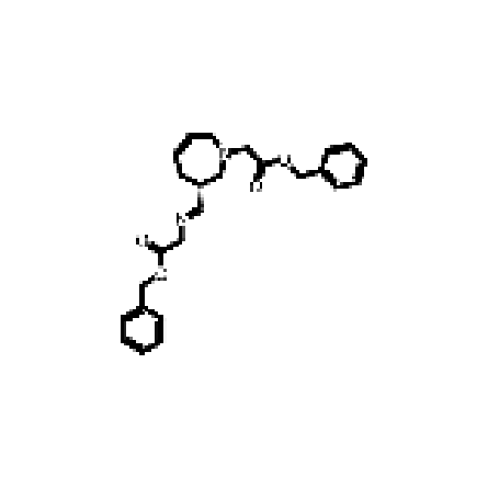 O=C(C/N=C/[C@H]1CC=CCN(CC(=O)OCc2ccccc2)C1)OCc1ccccc1